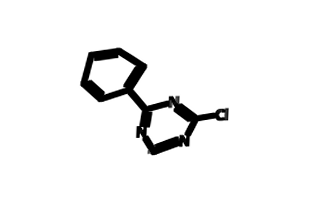 Clc1n[c]nc(-c2ccccc2)n1